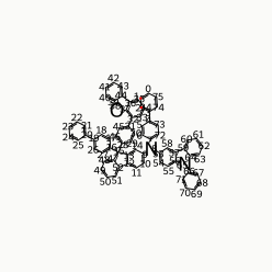 c1ccc(-c2ccc(N(c3ccc4c(c3)C(c3ccc(-c5ccccc5)cc3)(c3ccc(-c5cccc6c5oc5ccccc56)cc3)c3ccccc3-4)c3ccc4c(c3)c3ccccc3n4-c3ccccc3)cc2)cc1